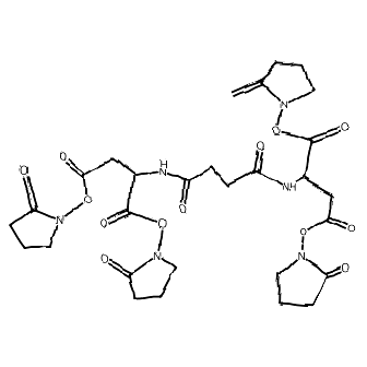 C=C1CCCN1OC(=O)C(CC(=O)ON1CCCC1=O)NC(=O)CCC(=O)NC(CC(=O)ON1CCCC1=O)C(=O)ON1CCCC1=O